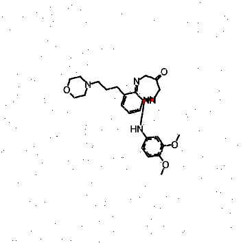 COc1ccc(NC2=NC=C3CC(=O)CN=C4C(CCCN5CCOCC5)=CC=CC34N2)cc1OC